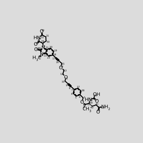 C[C@@H](OCc1ccc(C#CCOCCOCC#Cc2ccc3c(c2)n(C)c(=O)n3C2CCC(=O)NC2=O)cc1)[C@H](CCC(N)=O)NC(=O)O